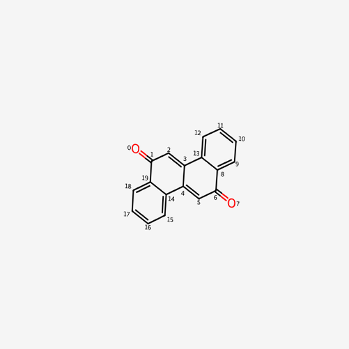 O=C1C=C2C(=CC(=O)c3ccccc32)c2ccccc21